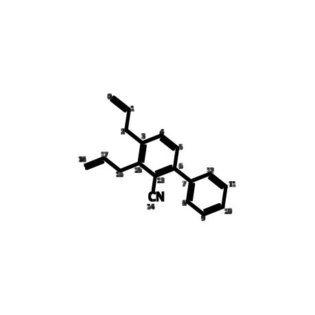 C=CCc1ccc(-c2ccccc2)c(C#N)c1CC=C